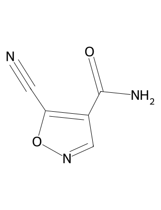 N#Cc1oncc1C(N)=O